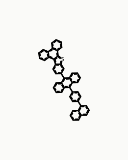 c1ccc2c(-c3ccc(-c4c5ccccc5c(-c5ccc6c(c5)sc5c7ccccc7c7ccccc7c65)c5ccccc45)cc3)cccc2c1